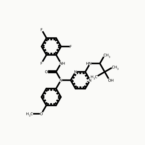 COc1ccc(N(C(=O)Nc2c(F)cc(F)cc2F)c2ccnc(NC(C)C(C)(C)O)n2)cc1